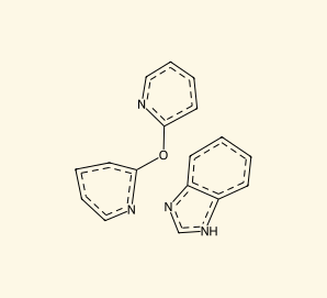 c1ccc(Oc2ccccn2)nc1.c1ccc2[nH]cnc2c1